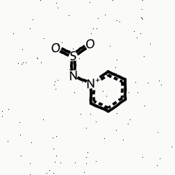 O=S(=O)=N[n+]1ccccc1